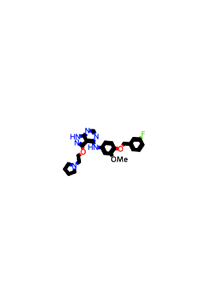 COc1cc(Nc2ncnc3[nH]nc(OCCN4CCCC4)c23)ccc1OCc1cccc(F)c1